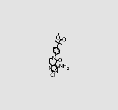 COC(=O)C(C)(C)c1ccc(N2CCc3nc(Cl)nc(N)c3C2=O)cc1